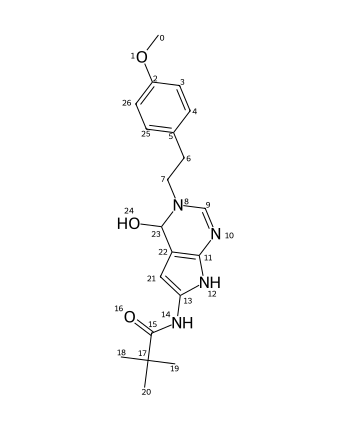 COc1ccc(CCN2C=Nc3[nH]c(NC(=O)C(C)(C)C)cc3C2O)cc1